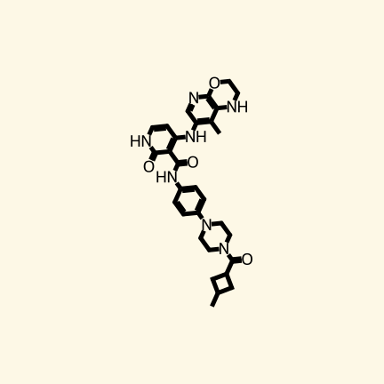 Cc1c(Nc2cc[nH]c(=O)c2C(=O)Nc2ccc(N3CCN(C(=O)C4CC(C)C4)CC3)cc2)cnc2c1NCCO2